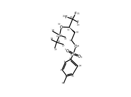 Cc1ccc(S(=O)(=O)OCC[C@@H](O[Si](C)(C)C(C)(C)C)C(F)(F)F)cc1